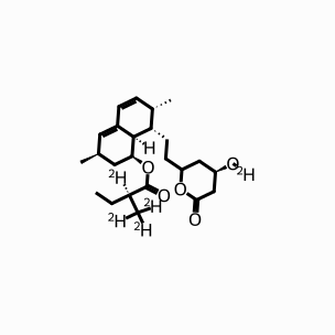 [2H]O[C@H]1CC(=O)OC(CC[C@@H]2[C@@H]3C(=C[C@H](C)C[C@@H]3OC(=O)[C@]([2H])(CC)C([2H])([2H])[2H])C=C[C@@H]2C)C1